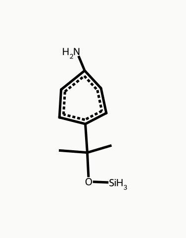 CC(C)(O[SiH3])c1ccc(N)cc1